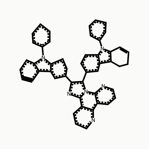 c1ccc2c(c#1)c1cc(-c3nc4c5cccnc5c5cccnc5n4c3-c3ccc4c(c3)c3c(n4-c4ccccc4)C=CCC3)ccc1n2-c1ccccc1